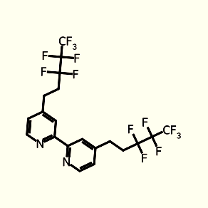 FC(F)(F)C(F)(F)C(F)(F)CCc1ccnc(-c2cc(CCC(F)(F)C(F)(F)C(F)(F)F)ccn2)c1